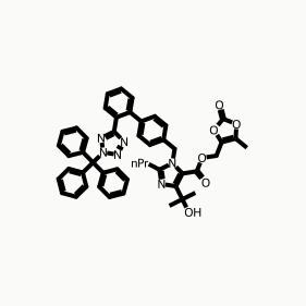 CCCc1nc(C(C)(C)O)c(C(=O)OCc2oc(=O)oc2C)n1Cc1ccc(-c2ccccc2-c2nnn(C(c3ccccc3)(c3ccccc3)c3ccccc3)n2)cc1